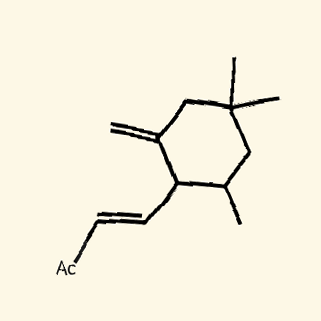 C=C1CC(C)(C)CC(C)C1C=CC(C)=O